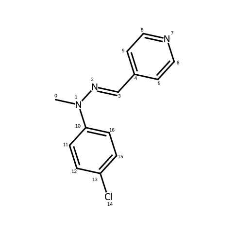 CN(N=Cc1ccncc1)c1ccc(Cl)cc1